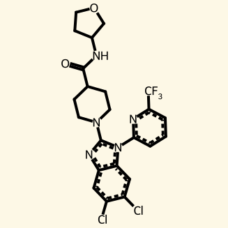 O=C(NC1CCOC1)C1CCN(c2nc3cc(Cl)c(Cl)cc3n2-c2cccc(C(F)(F)F)n2)CC1